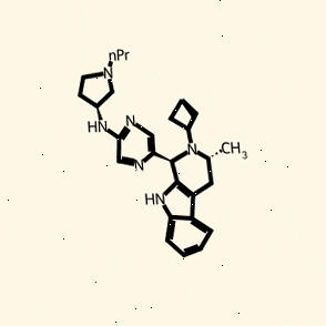 CCCN1CC[C@H](Nc2cnc([C@@H]3c4[nH]c5ccccc5c4C[C@@H](C)N3C34CC(C3)C4)cn2)C1